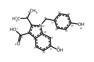 CC(C)c1c(C(=O)O)c2ccc(O)cc2n1Cc1ccc(O)cc1